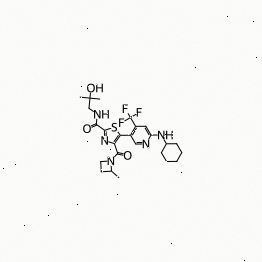 CC1CCN1C(=O)c1nc(C(=O)NCC(C)(C)O)sc1-c1cnc(NC2CCCCC2)cc1C(F)(F)F